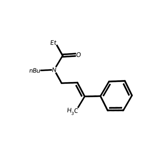 CCCCN(C/C=C(\C)c1ccccc1)C(=O)CC